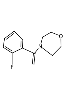 C=C(c1ccccc1F)N1CCOCC1